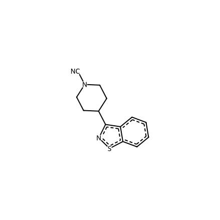 N#CN1CCC(c2nsc3ccccc23)CC1